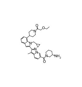 CCOCC(=O)N1CCC(c2cccc3cc(-c4nn5cc(C(=O)N6CCC[C@@H](N)C6)ccc5c4C)n(CC4CC4)c23)CC1